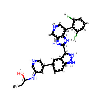 CC(C)CC(O)Nc1cncc(-c2ccc3[nH]nc(-c4nc5c(-c6c(F)cccc6F)cncc5[nH]4)c3c2)c1